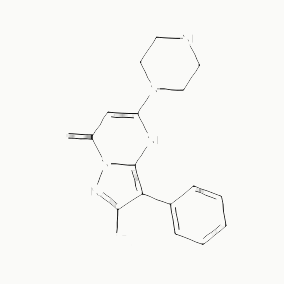 O=c1cc(N2CCNCC2)[nH]c2c(-c3ccccc3)c(C(F)(F)F)nn12